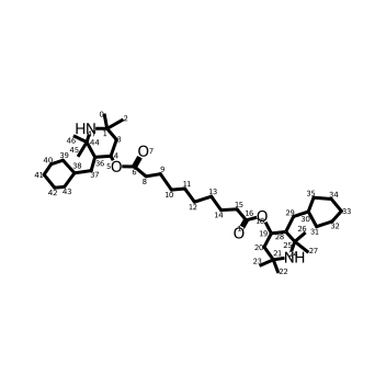 CC1(C)CC(OC(=O)CCCCCCCCC(=O)OC2CC(C)(C)NC(C)(C)C2CC2CCCCC2)C(CC2CCCCC2)C(C)(C)N1